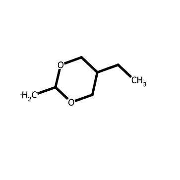 [CH2]C1OCC(CC)CO1